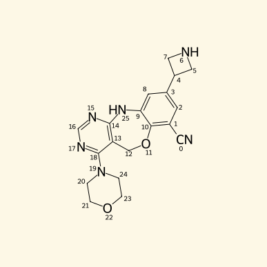 N#Cc1cc(C2CNC2)cc2c1OCc1c(ncnc1N1CCOCC1)N2